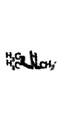 [CH2]CNCC(C)CC